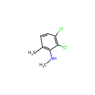 CNc1c([SiH3])ccc(Cl)c1Cl